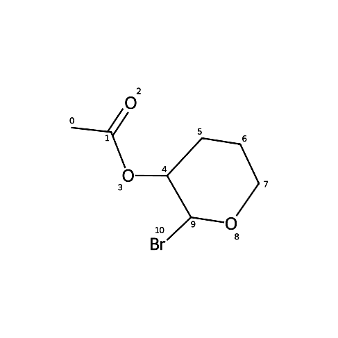 CC(=O)OC1CCCOC1Br